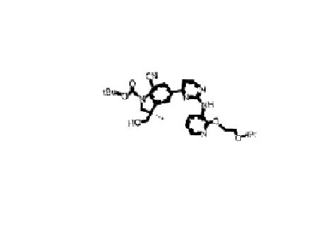 CC(C)OCCOc1ncccc1Nc1nccc(-c2cc(C#N)c3c(c2)[C@@](C)(CO)CN3C(=O)OC(C)(C)C)n1